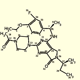 CCOc1ccc([C@@H](C)Nc2nc(N3CCN(C(C)=O)CC3)nc3c2CN([C@@H](C)CC)C3=O)cc1F